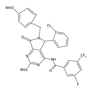 COc1ccc(CN2C(=O)c3nc(SC)nc(NC(=O)c4cc(F)cc(C(F)(F)F)c4)c3C2c2ccccc2Cl)cc1